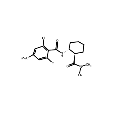 COc1cc(Cl)c(C(=O)N[C@@H]2CCCC[C@H]2C(=O)N(C)C#N)c(Cl)c1